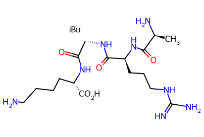 CC[C@H](C)[C@H](NC(=O)[C@H](CCCNC(=N)N)NC(=O)[C@H](C)N)C(=O)N[C@@H](CCCCN)C(=O)O